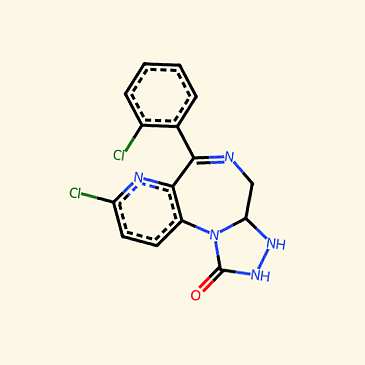 O=C1NNC2CN=C(c3ccccc3Cl)c3nc(Cl)ccc3N12